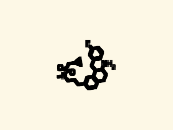 CN(CCCc1ccc2c(c1)C(Cc1cccc(F)c1)C(N)CC2)S(=O)(=O)CC1CC1